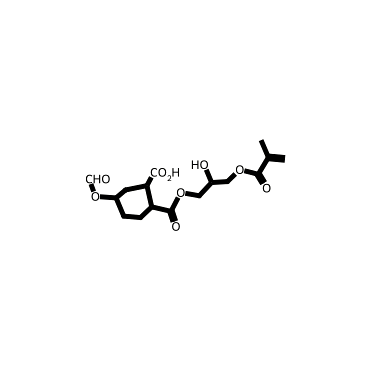 C=C(C)C(=O)OCC(O)COC(=O)C1CCC(OC=O)CC1C(=O)O